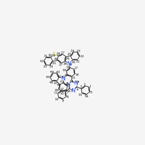 c1ccc(-c2nc(-c3ccccc3)nc(-c3ccc(-n4c5ccccc5c5cc6sc7ccccc7c6cc54)cc3-n3c4ccccc4c4ccccc43)n2)cc1